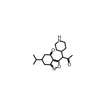 CC(=O)C(c1onc2c1C(=O)CC(C(C)C)C2)C1CCNCC1